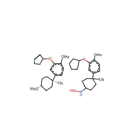 COc1ccc(C2(C#N)CCC(NO)CC2)cc1OC1CCCC1.COc1ccc([C@]2(C#N)CC[C@@H](OC)CC2)cc1OC1CCCC1